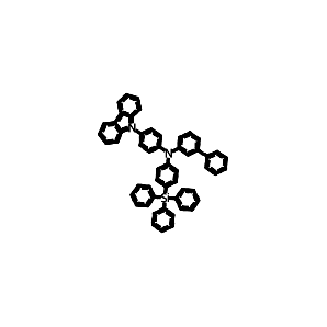 c1ccc(-c2cccc(N(c3ccc(-n4c5ccccc5c5ccccc54)cc3)c3ccc([Si](c4ccccc4)(c4ccccc4)c4ccccc4)cc3)c2)cc1